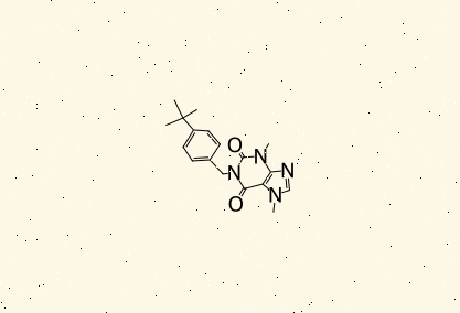 Cn1cnc2c1c(=O)n(Cc1ccc(C(C)(C)C)cc1)c(=O)n2C